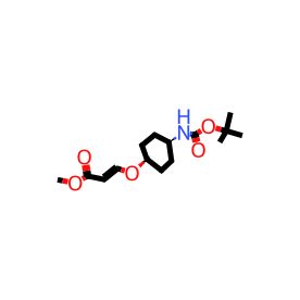 COC(=O)/C=C/O[C@H]1CC[C@H](NC(=O)OC(C)(C)C)CC1